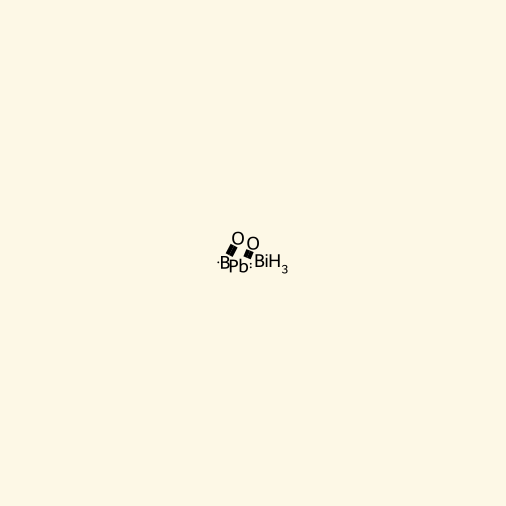 [B]=O.[BiH3].[O]=[Pb]